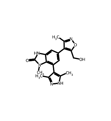 Cc1n[nH]c(C)c1-c1cc(-c2c(C)noc2CO)cc2[nH]c(=O)n(C)c12